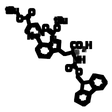 CC(C)(C)OC(=O)c1cnc(-c2cccc3c(C[C@H](NC(=O)OCC4c5ccccc5-c5ccccc54)C(=O)O)cn(C(=O)OC(C)(C)C)c23)nc1